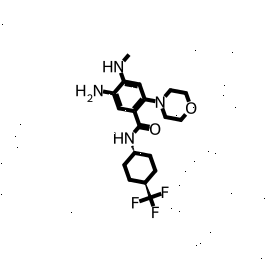 CNc1cc(N2CCOCC2)c(C(=O)N[C@H]2CC[C@H](C(F)(F)F)CC2)cc1N